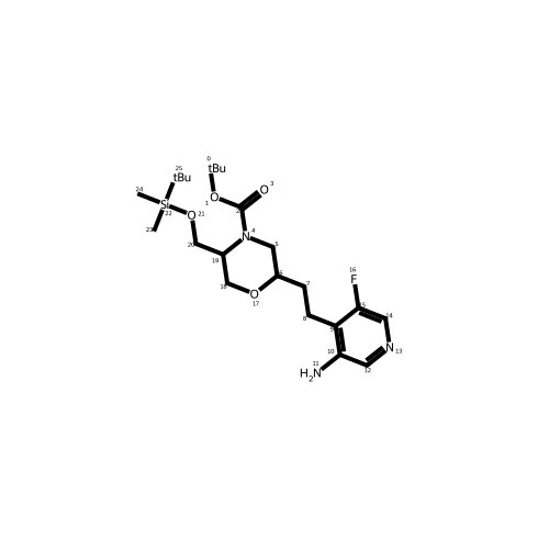 CC(C)(C)OC(=O)N1CC(CCc2c(N)cncc2F)OCC1CO[Si](C)(C)C(C)(C)C